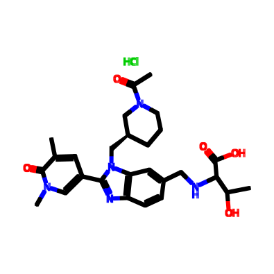 CC(=O)N1CCC[C@@H](Cn2c(-c3cc(C)c(=O)n(C)c3)nc3ccc(CNC(C(=O)O)C(C)O)cc32)C1.Cl